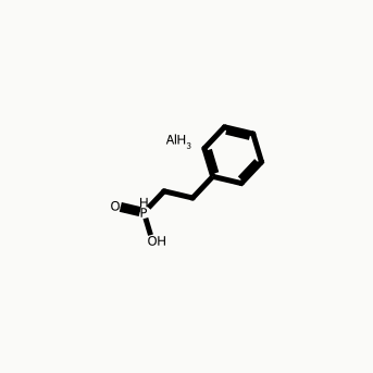 O=[PH](O)CCc1ccccc1.[AlH3]